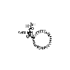 CBNC(=O)CC[C@H](NC(C)=O)C(=O)NCC1CCCCCCCCCCCCCCCCCCCCCCCCC1